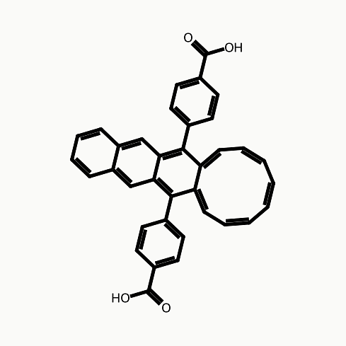 O=C(O)c1ccc(-c2c3ccccccccc3c(-c3ccc(C(=O)O)cc3)c3cc4ccccc4cc23)cc1